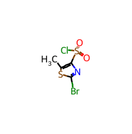 Cc1sc(Br)nc1S(=O)(=O)Cl